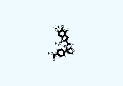 COc1cc2c(cc(C(=O)NC3(c4ccc(C(=O)O)cc4)CCOC3)n2C)c(Cl)c1Cl